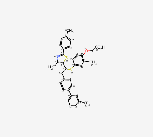 Cc1ccc(-c2nc(C)c(C(Cc3ccc(-c4cccc(C(F)(F)F)c4)cc3)Sc3ccc(OCC(=O)O)c(C)c3)s2)cc1